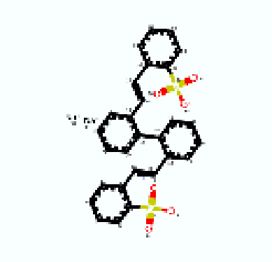 O=S(=O)([O-])c1ccccc1/C=C/c1ccccc1-c1ccccc1/C=C/c1ccccc1S(=O)(=O)[O-].[Na+].[Na+]